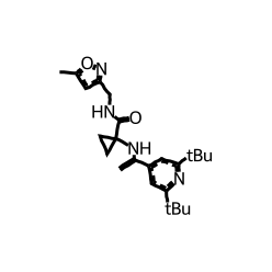 C=C(NC1(C(=O)NCc2cc(C)on2)CC1)c1cc(C(C)(C)C)nc(C(C)(C)C)c1